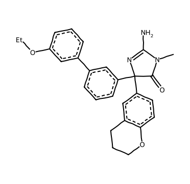 CCOc1cccc(-c2cccc(C3(c4ccc5c(c4)CCCO5)N=C(N)N(C)C3=O)c2)c1